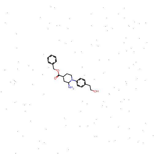 NC1CC(C(=O)OCc2ccccc2)CCN1c1ccc(CCO)cc1